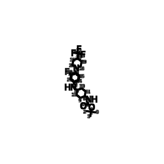 CC(C)(C)OC(=O)NC1CCC(Nc2ccc(N3CCC(C(F)(F)F)CC3)c(F)c2)CC1